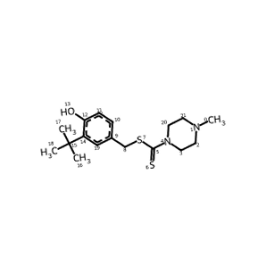 CN1CCN(C(=S)SCc2c[c]c(O)c(C(C)(C)C)c2)CC1